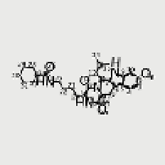 COc1ccc2c3c([nH]c2c1)[C@H](CC(C)C)N1C(=O)[C@H](CCCCNC(=O)C2CCCCC2)NC(=O)[C@@H]1C3